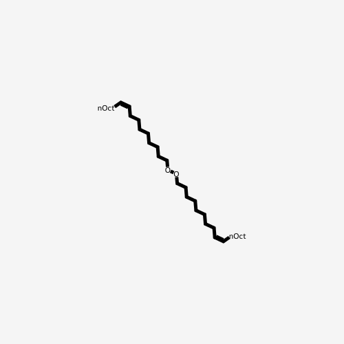 CCCCCCCC/C=C\CCCCCCCCOOCCCCCCCC/C=C\CCCCCCCC